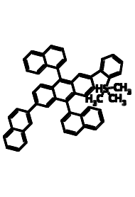 C[SH]1(C)(C)c2ccccc2-c2cc3c(-c4cccc5ccccc45)c4ccc(-c5ccc6ccccc6c5)cc4c(-c4cccc5ccccc45)c3cc21